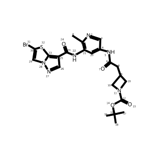 Cc1ncc(NC(=O)CC2CN(C(=O)OC(C)(C)C)C2)cc1NC(=O)c1cnn2cc(Br)sc12